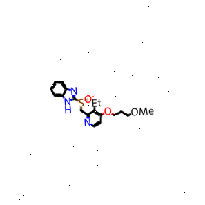 CCc1c(OCCCOC)ccnc1C[S+]([O-])c1nc2ccccc2[nH]1